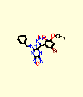 COc1cc(Br)cc(C(=NN)c2nc3nonc3nc2NCc2ccccc2)c1O